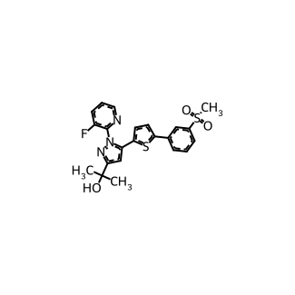 CC(C)(O)c1cc(-c2ccc(-c3cccc(S(C)(=O)=O)c3)s2)n(-c2ncccc2F)n1